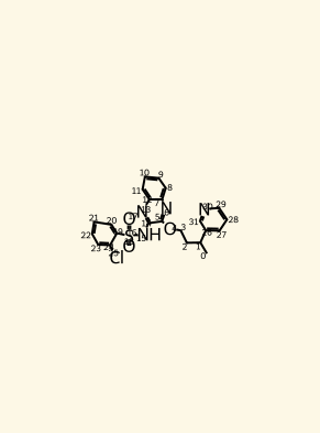 CC(CCOc1nc2ccccc2nc1NS(=O)(=O)c1ccccc1Cl)c1cccnc1